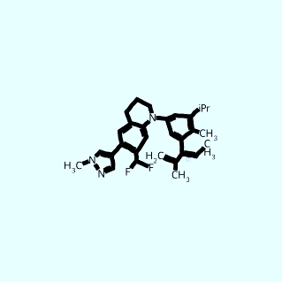 C=C(C)/C(=C/C)c1cc(N2CCCc3cc(-c4cnn(C)c4)c(C(F)F)cc32)cc(C(C)C)c1C